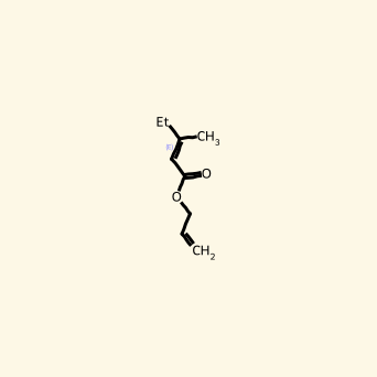 C=CCOC(=O)/C=C(\C)CC